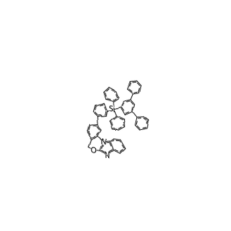 c1ccc(-c2cc(-c3ccccc3)cc([Si](c3ccccc3)(c3ccccc3)c3cccc(-c4ccc5c(c4)-n4c(nc6ccccc64)OC5)c3)c2)cc1